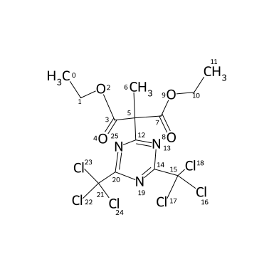 CCOC(=O)C(C)(C(=O)OCC)c1nc(C(Cl)(Cl)Cl)nc(C(Cl)(Cl)Cl)n1